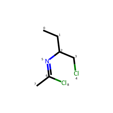 CCC(CCl)N=C(C)Cl